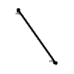 OC(COCCOCCOCCOCCOCCOCCOCCOCCOCCOCCOCCOCCOCCOCCOCCOCCOCCOCCOCCOCCOCCOCCOCC(O)Cc1scc2c1OCCO2)Cc1scc2c1OCCO2